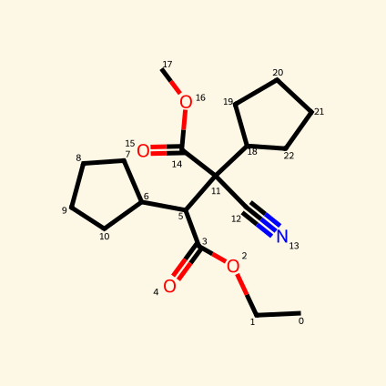 CCOC(=O)C(C1CCCC1)C(C#N)(C(=O)OC)C1CCCC1